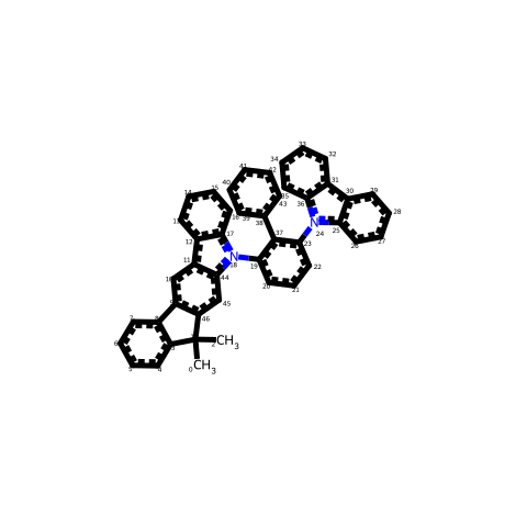 CC1(C)c2ccccc2-c2cc3c4ccccc4n(-c4cccc(-n5c6ccccc6c6ccccc65)c4-c4ccccc4)c3cc21